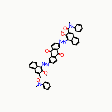 COc1c(CON(C)c2ccccc2)cc2ccccc2c1N=Nc1ccc2c(c1)C(=O)c1ccc(N=Nc3c(OC)c(C(=O)N(C)c4ccccc4)cc4ccccc34)cc1C2=O